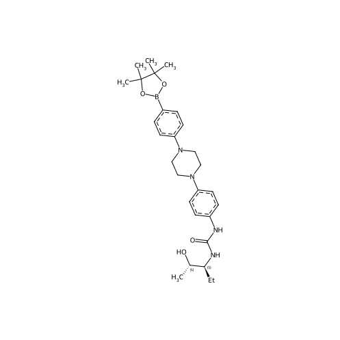 CC[C@H](NC(=O)Nc1ccc(N2CCN(c3ccc(B4OC(C)(C)C(C)(C)O4)cc3)CC2)cc1)[C@H](C)O